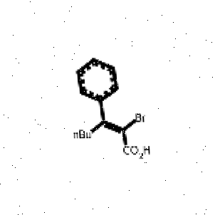 CCCCC(=C(Br)C(=O)O)c1ccccc1